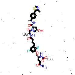 Cc1ncsc1-c1ccc([C@H](C)NC(=O)[C@@H]2C[C@@H](O)CN2C(=O)[C@@H](NC(=O)CCCc2cc(F)cc(OC[C@H](CCC(N)=O)NC(=O)OC(C)(C)C)c2F)C(C)(C)C)cc1